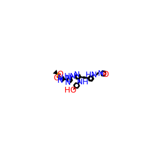 O=S(=O)(C1CC1)n1cc(-c2nccc(Nc3cc(NC4CCC(O)CC4)c(C#Cc4cccc(NCCN5CCOCC5)c4)cn3)n2)cn1